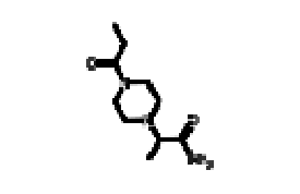 CCC(=O)N1CCN(C(C)C(N)=O)CC1